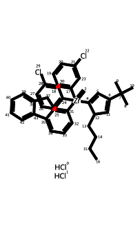 Cl.Cl.[CH2]=[Zr]([C]1=CC(C(C)(C)C)=CC1CCCC)([c]1cccc(Cl)c1)([c]1cccc(Cl)c1)[c]1cccc2c1Cc1ccccc1-2